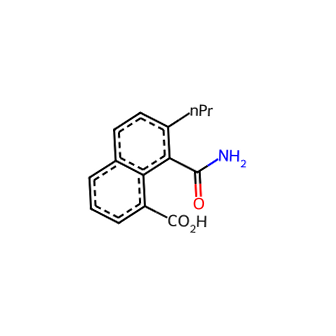 CCCc1ccc2cccc(C(=O)O)c2c1C(N)=O